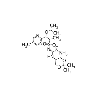 Cc1cnc([C@H](OC(C)C)[C@H](C)S(=O)(=O)/N=C(\NN)NC2COC(C)(C)OC2)nc1